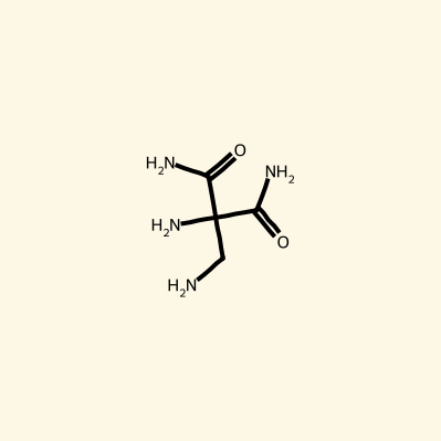 NCC(N)(C(N)=O)C(N)=O